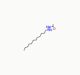 CCCCCCCCCCCCNNC(C)=O